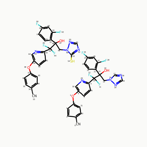 N#Cc1ccc(Oc2ccc(C(F)(F)C(O)(Cn3cncn3)c3ccc(F)cc3F)nc2)cc1.N#Cc1ccc(Oc2ccc(C(F)(F)C(O)(Cn3ncnc3S)c3ccc(F)cc3F)nc2)cc1